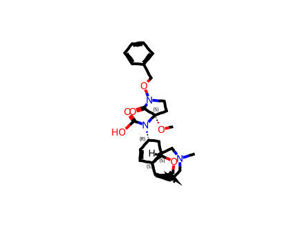 CO[C@@]1(N(C(=O)O)[C@H]2C=C[C@@]34CCN(C)Cc5cccc(c53)O[C@H]4C2)CCN(OCc2ccccc2)C1=O